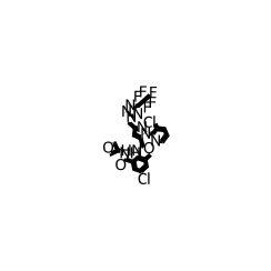 Cc1cc(Cl)cc(C(=O)NC2COC2)c1NC(=O)c1cc(Cn2nnc(C(F)(F)C(F)(F)F)n2)nn1-c1ncccc1Cl